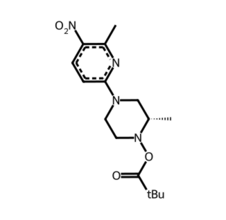 Cc1nc(N2CCN(OC(=O)C(C)(C)C)[C@@H](C)C2)ccc1[N+](=O)[O-]